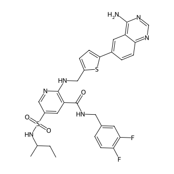 CCC(C)NS(=O)(=O)c1cnc(NCc2ccc(-c3ccc4ncnc(N)c4c3)s2)c(C(=O)NCc2ccc(F)c(F)c2)c1